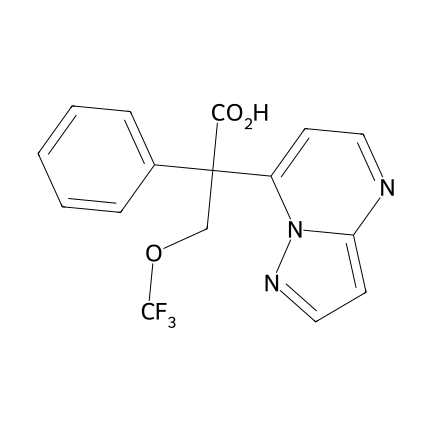 O=C(O)C(COC(F)(F)F)(c1ccccc1)c1ccnc2ccnn12